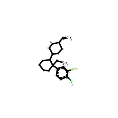 C=CC1CCC(C2CCCCC2(CC)c2ccc(Cl)c(F)c2)CC1